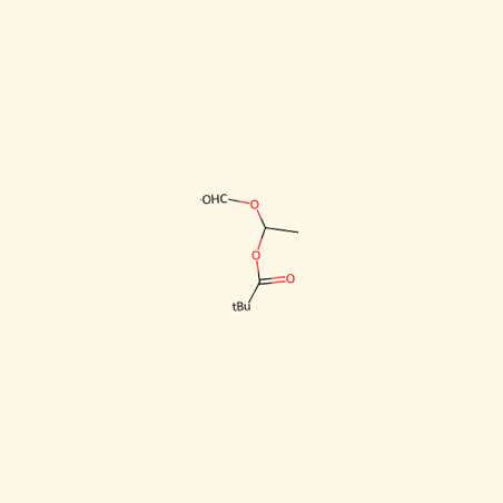 CC(O[C]=O)OC(=O)C(C)(C)C